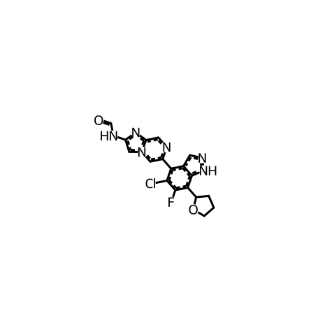 O=CNc1cn2cc(-c3c(Cl)c(F)c(C4CCCO4)c4[nH]ncc34)ncc2n1